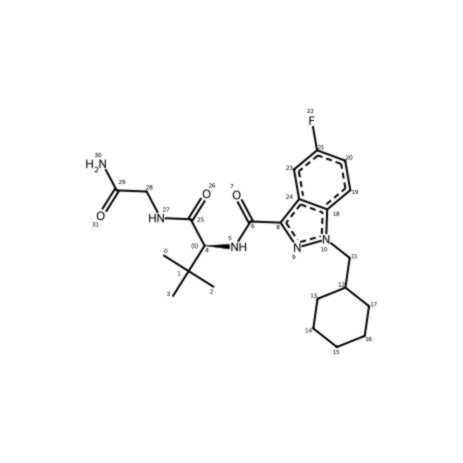 CC(C)(C)[C@H](NC(=O)c1nn(CC2CCCCC2)c2ccc(F)cc12)C(=O)NCC(N)=O